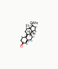 CC[C@]12CCC3=C4CCC(=O)C=C4CC[C@H]3[C@@H]1CC[C@@H]2OC